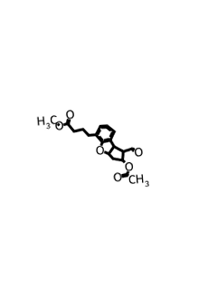 COC(=O)CCCc1cccc2c1OC1CC(OC(C)=O)C(C=O)C21